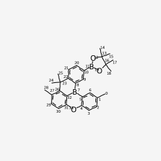 Cc1ccc2c(c1)B1c3cc(B4OC(C)(C)C(C)(C)O4)ccc3C(C)(C)c3c(C)ccc(c31)O2